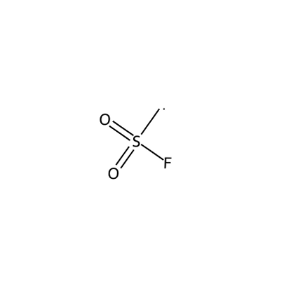 [CH2]S(=O)(=O)F